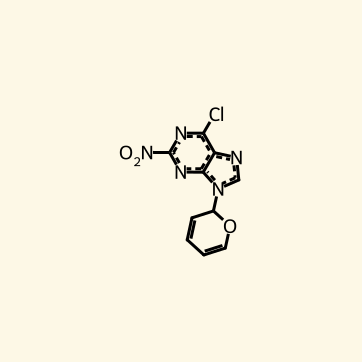 O=[N+]([O-])c1nc(Cl)c2ncn(C3C=CC=CO3)c2n1